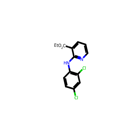 CCOC(=O)c1cccnc1Nc1ccc(Cl)cc1Cl